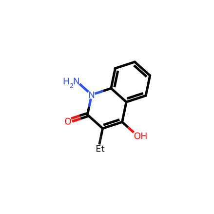 CCc1c(O)c2ccccc2n(N)c1=O